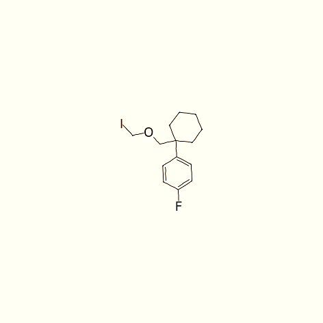 Fc1ccc(C2(COCI)CCCCC2)cc1